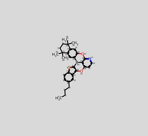 CCCCc1ccc2sc3c(c2c1)Oc1ccnc2c1B3c1cc3c(cc1O2)C(C)(C)CCC3(C)C